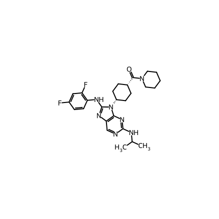 CC(C)Nc1ncc2nc(Nc3ccc(F)cc3F)n([C@H]3CC[C@@H](C(=O)N4CCCCC4)CC3)c2n1